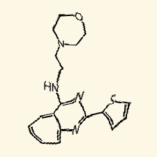 c1csc(-c2nc(NCCN3CCOCC3)c3ccccc3n2)c1